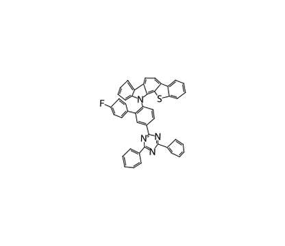 Fc1ccc(-c2cc(-c3nc(-c4ccccc4)nc(-c4ccccc4)n3)ccc2-n2c3ccccc3c3ccc4c5ccccc5sc4c32)cc1